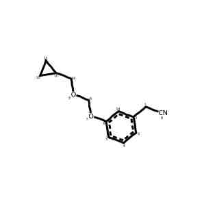 N#CCc1cccc(OCOCC2CC2)c1